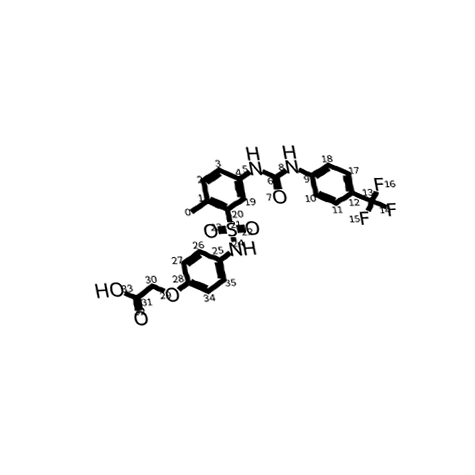 Cc1ccc(NC(=O)Nc2ccc(C(F)(F)F)cc2)cc1S(=O)(=O)Nc1ccc(OCC(=O)O)cc1